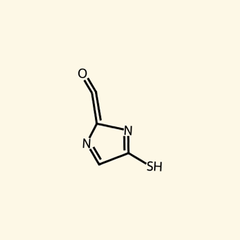 O=C=C1N=CC(S)=N1